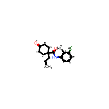 C=CCC1(C(=O)Nc2cccc(Cl)c2C#N)CCC(=O)CC1